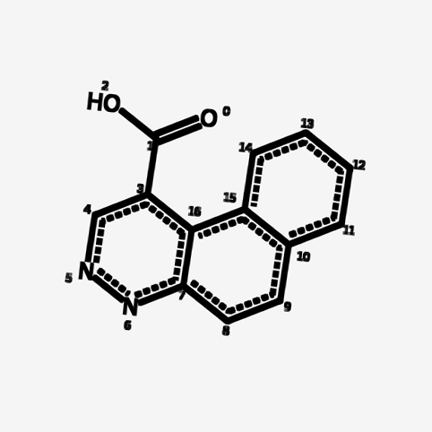 O=C(O)c1cnnc2ccc3ccccc3c12